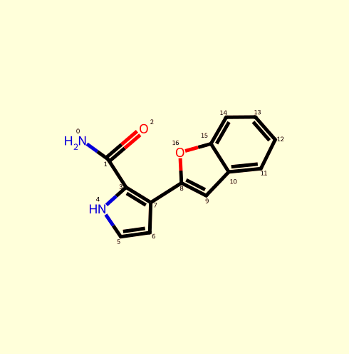 NC(=O)c1[nH]ccc1-c1cc2ccccc2o1